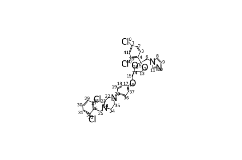 Clc1ccc([C@]2(Cn3ccnc3)OC[C@@H](COc3ccc(N4CCN(Cc5c(Cl)cccc5Cl)CC4)cc3)O2)c(Cl)c1